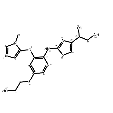 Cn1cncc1Oc1cc(SCCO)cnc1Nc1nc(C(O)CO)cs1